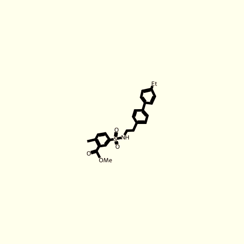 CCc1ccc(-c2ccc(CCNS(=O)(=O)c3ccc(C)c(C(=O)OC)c3)cc2)cc1